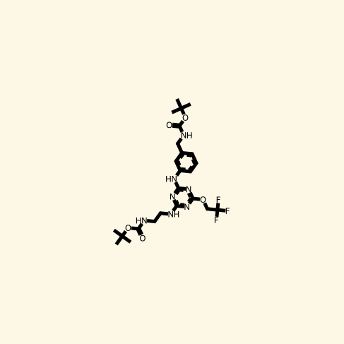 CC(C)(C)OC(=O)NCCNc1nc(Nc2cccc(CNC(=O)OC(C)(C)C)c2)nc(OCC(F)(F)F)n1